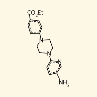 CCOC(=O)c1ccc(N2CCN(c3ccc(N)cn3)CC2)cc1